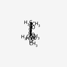 COCP(C)(=O)NC(C)C(=O)OCOC(=O)OC(C)C